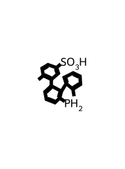 Cc1ccc(S(=O)(=O)O)cc1-c1cccc(P)c1-c1ccccc1C